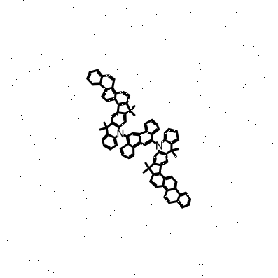 CC1(C)c2ccccc2N(c2cc3c4ccccc4c(N4c5ccccc5C(C)(C)c5cc6c(cc54)C(C)(C)c4ccc5c(ccc7c8ccccc8ccc57)c4-6)cc3c3ccccc23)c2cc3c(cc21)-c1c(ccc2c1ccc1c4ccccc4ccc21)C3(C)C